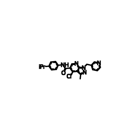 Cc1nn(Cc2cccnc2)c2ncc(C(=O)Nc3ccc(C(C)C)cc3)c(Cl)c12